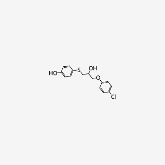 Oc1ccc(SCC(O)COc2ccc(Cl)cc2)cc1